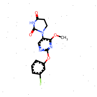 COc1nc(Oc2cccc(F)c2)ncc1N1CCC(=O)NC1=O